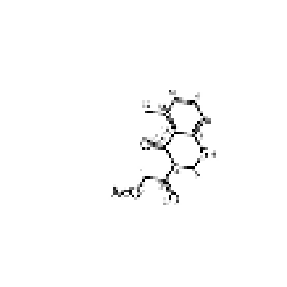 CC(=O)OCC(=O)C1CSc2cccc(C)c2C1=O